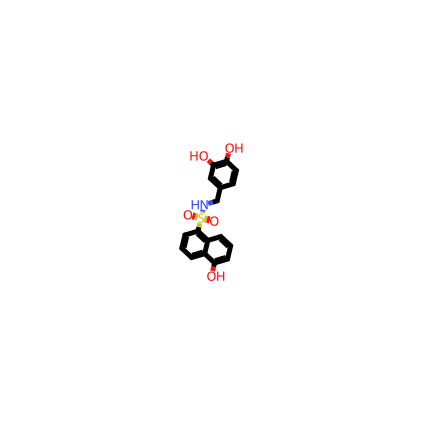 O=S(=O)(NCc1ccc(O)c(O)c1)c1cccc2c(O)cccc12